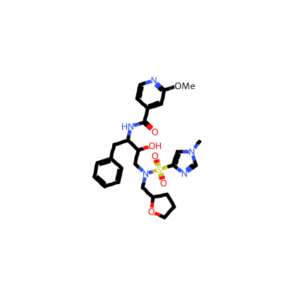 COc1cc(C(=O)NC(Cc2ccccc2)C(O)CN(CC2CCCO2)S(=O)(=O)c2cn(C)cn2)ccn1